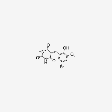 COc1cc(Br)cc(C=C2C(=O)NC(=O)NC2=O)c1O